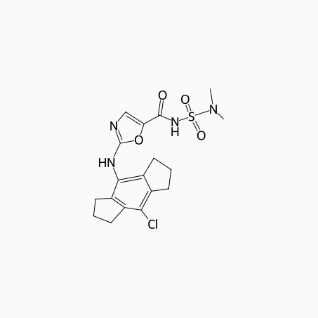 CN(C)S(=O)(=O)NC(=O)c1cnc(Nc2c3c(c(Cl)c4c2CCC4)CCC3)o1